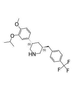 COc1ccc([C@H]2CNC[C@H](Cc3ccc(C(F)(F)F)cc3)C2)cc1OC(C)C